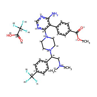 COC(=O)c1ccc(-c2c(N)ncnc2N2CCN(C(CN(C)C)c3ccc(C(F)(F)F)cc3)CC2)cc1.O=C(O)C(F)(F)F